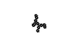 c1ccc(-c2ccc(N(c3ccc(-c4cc(-c5ccc6ccccc6c5)ccc4-c4ccc5ccccc5c4)cc3)c3ccc(-c4cccc5ccccc45)cc3)cc2)cc1